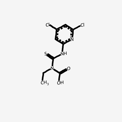 CCN(C(=O)O)C(=S)Nc1cc(Cl)cc(Cl)n1